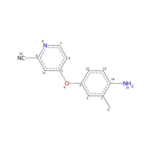 Cc1cc(Oc2ccnc(C#N)c2)ccc1N